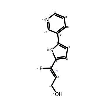 OC/C=C(\F)c1ccc(-c2cccnc2)s1